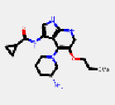 COCCOC1=C(N2CCC[C@@H](N)C2)c2c(NC(=O)C3CC3)c[nH]c2NC1